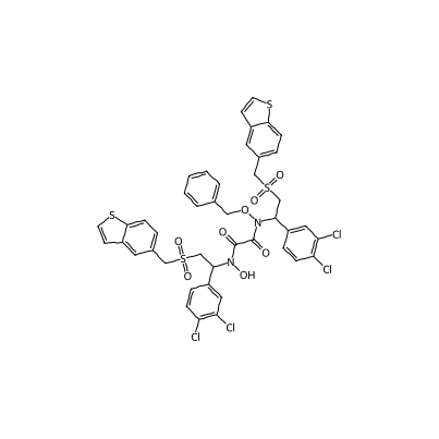 O=C(C(=O)N(OCc1ccccc1)C(CS(=O)(=O)Cc1ccc2sccc2c1)c1ccc(Cl)c(Cl)c1)N(O)C(CS(=O)(=O)Cc1ccc2sccc2c1)c1ccc(Cl)c(Cl)c1